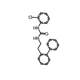 O=C(NCCc1ccccc1-c1ccccc1)Nc1ccccc1Cl